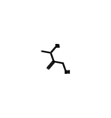 C=C(CS)C(C)CC